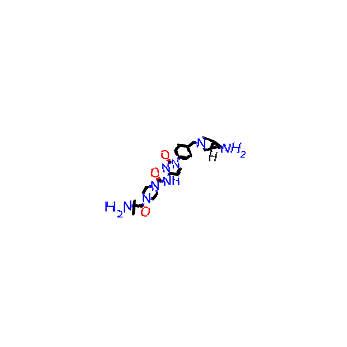 CC(C)(N)C(=O)N1CCN(C(=O)Nc2ccn(C3=CCC(CN4CC5C(N)[C@@H]5C4)CC3)c(=O)n2)CC1